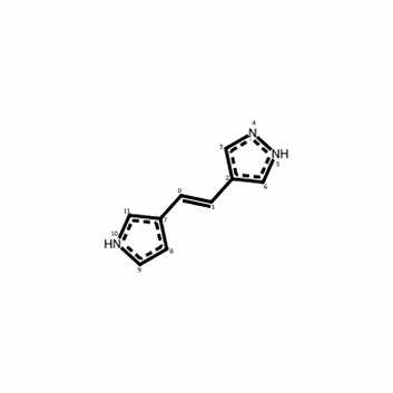 C(=C\c1cn[nH]c1)/c1cc[nH]c1